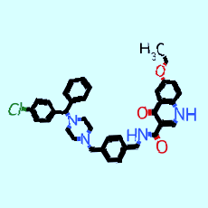 CCOc1ccc2[nH]cc(C(=O)NCc3ccc(CN4CCN(C(c5ccccc5)c5ccc(Cl)cc5)CC4)cc3)c(=O)c2c1